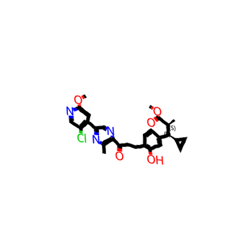 COC(=O)[C@@H](C)[C@H](c1ccc(CCC(=O)c2ncc(-c3cc(OC)ncc3Cl)nc2C)c(O)c1)C1CC1